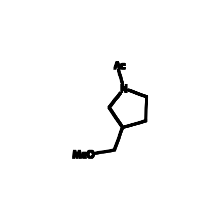 COCC1CCN(C(C)=O)C1